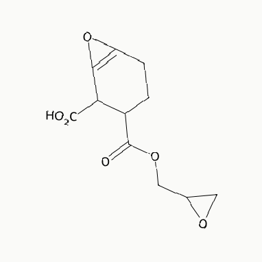 O=C(OCC1CO1)C1CCC2=C(O2)C1C(=O)O